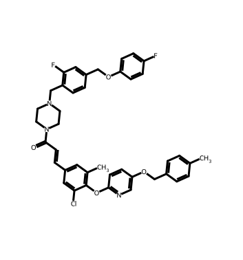 Cc1ccc(COc2ccc(Oc3c(C)cc(C=CC(=O)N4CCN(Cc5ccc(COc6ccc(F)cc6)cc5F)CC4)cc3Cl)nc2)cc1